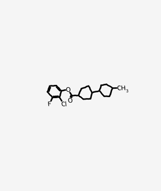 CC1CCC(C2CCC(C(=O)Oc3cccc(F)c3Cl)CC2)CC1